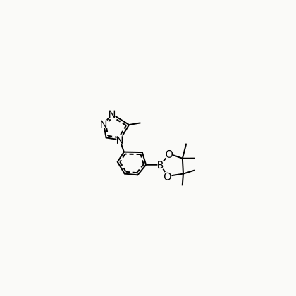 Cc1nncn1-c1cccc(B2OC(C)(C)C(C)(C)O2)c1